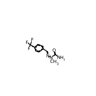 CN(N=Cc1ccc(C(F)(F)F)cc1)C(N)=O